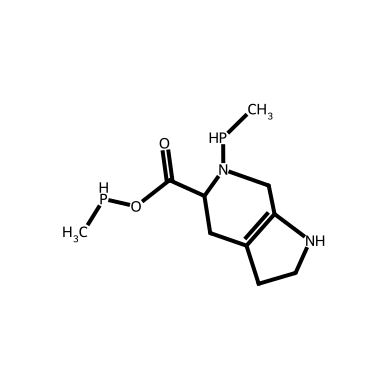 CPOC(=O)C1CC2=C(CN1PC)NCC2